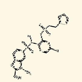 CCN(c1ccc(Cl)cc1CS(=O)(=O)CCc1ccco1)S(=O)(=O)c1ccc2oc(C(=O)O)c(C)c2c1